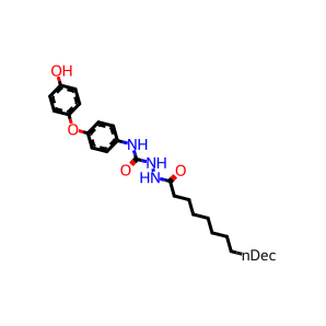 CCCCCCCCCCCCCCCCCC(=O)NNC(=O)Nc1ccc(Oc2ccc(O)cc2)cc1